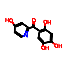 O=C(c1cc(O)ccn1)c1cc(O)c(O)cc1O